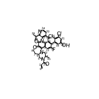 C=CC(=O)N1CC2CCOc3c(c4cc(F)c(-c5cc(O)cc(Cl)c5Cl)c(F)c4n(-c4c(C)ccnc4C(C)C)c3=O)N2CC1C